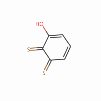 OC1=CC=CC(=S)C1=S